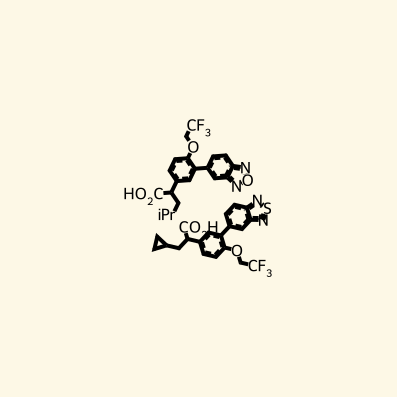 CC(C)CC(C(=O)O)c1ccc(OCC(F)(F)F)c(-c2ccc3nonc3c2)c1.O=C(O)C(CC1CC1)c1ccc(OCC(F)(F)F)c(-c2ccc3nsnc3c2)c1